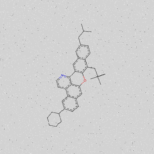 CC(C)Cc1ccc2c(CC(C)(C)C)c3c(cc2c1)-c1nccc2c1c(cc1ccc(C4CCCCC4)cc12)O3